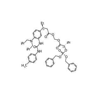 CC[C@@H](CC(=O)OCOC(=O)[C@@H](OP(=O)(OCc1ccccc1)OCc1ccccc1)C(C)C)c1ccc(N(CC(C)C)CC(C)C)c(NC(=O)Nc2ccc(C)cc2)c1